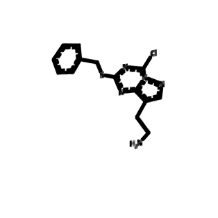 NCCc1cnn2c(Cl)nc(SCc3ccccc3)nc12